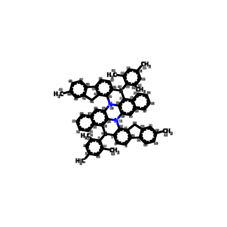 Cc1cc(C)c(B2c3ccc4c(c3N3c5cc6ccccc6c6c5N(c5cc7ccccc7c2c53)c2c(ccc3c2Cc2cc(C)ccc2-3)B6c2c(C)cc(C)cc2C)Cc2cc(C)ccc2-4)c(C)c1